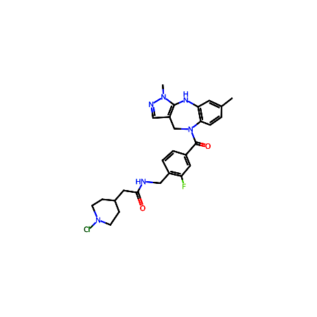 Cc1ccc2c(c1)Nc1c(cnn1C)CN2C(=O)c1ccc(CNC(=O)CC2CCN(Cl)CC2)c(F)c1